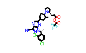 CC1CC(c2cnc3c(C#N)nn([C@H](C)c4ccc(Cl)cc4Cl)c3n2)=CCC1N1CCC[C@H]1CCC(=O)OC(=O)C(F)(F)F